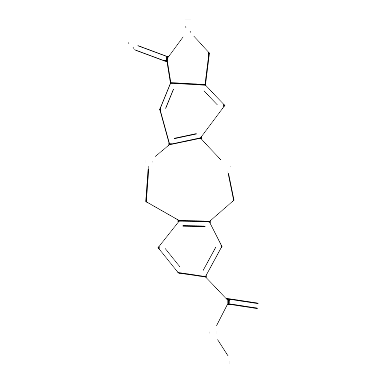 COC(=O)c1ccc2c(c1)COc1cc3c(cc1OC2)C(=N)NC3